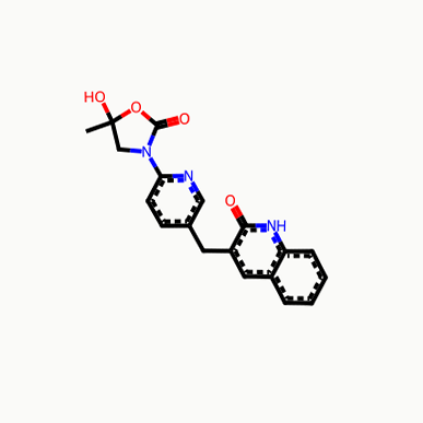 CC1(O)CN(c2ccc(Cc3cc4ccccc4[nH]c3=O)cn2)C(=O)O1